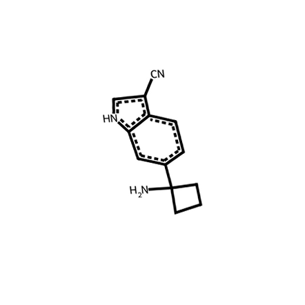 N#Cc1c[nH]c2cc(C3(N)CCC3)ccc12